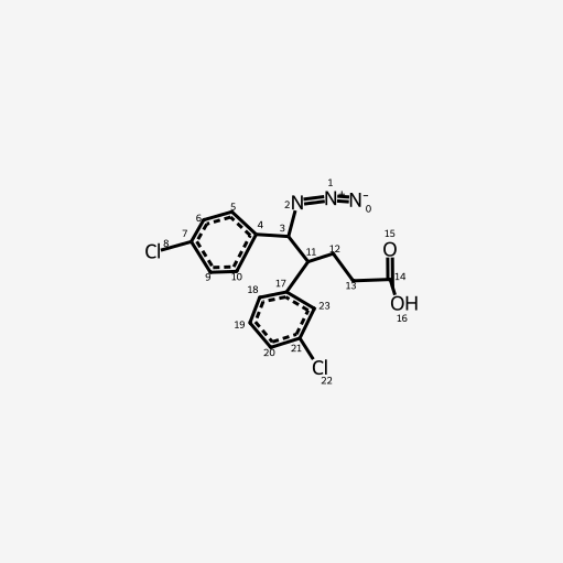 [N-]=[N+]=NC(c1ccc(Cl)cc1)C(CCC(=O)O)c1cccc(Cl)c1